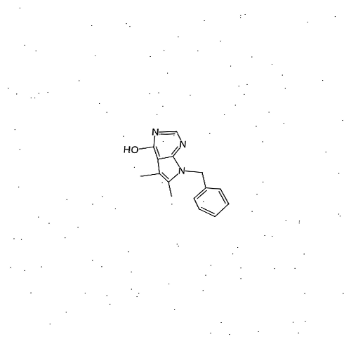 Cc1c(C)n(Cc2ccccc2)c2ncnc(O)c12